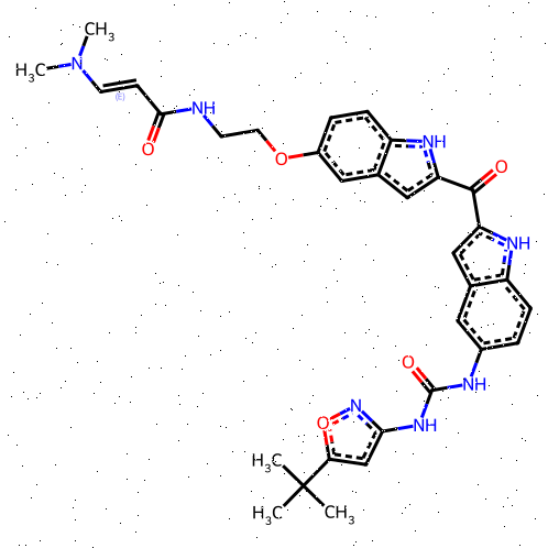 CN(C)/C=C/C(=O)NCCOc1ccc2[nH]c(C(=O)c3cc4cc(NC(=O)Nc5cc(C(C)(C)C)on5)ccc4[nH]3)cc2c1